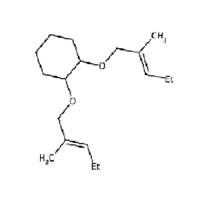 CCC=C(C)COC1CCCCC1OCC(C)=CCC